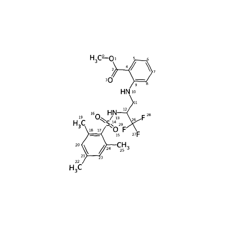 COC(=O)c1ccccc1NCC(NS(=O)(=O)c1c(C)cc(C)cc1C)C(F)(F)F